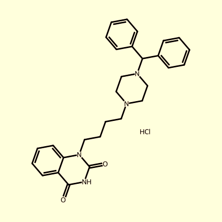 Cl.O=c1[nH]c(=O)n(CCCCN2CCN(C(c3ccccc3)c3ccccc3)CC2)c2ccccc12